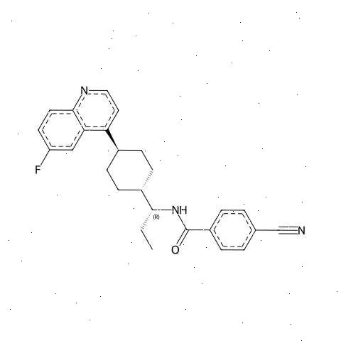 CC[C@@H](NC(=O)c1ccc(C#N)cc1)[C@H]1CC[C@H](c2ccnc3ccc(F)cc32)CC1